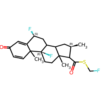 C[C@@H]1CC2C3C[C@H](F)C4=CC(=O)C=CC4(C)[C@@]3(F)CCC2(C)C1C(=O)SCF